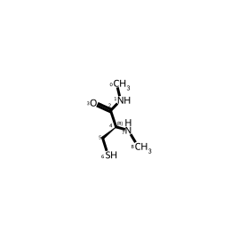 CNC(=O)[C@H](CS)NC